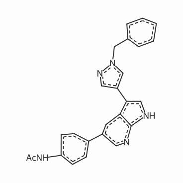 CC(=O)Nc1ccc(-c2cnc3[nH]cc(-c4cnn(Cc5ccccc5)c4)c3c2)cc1